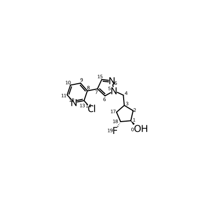 O[C@@H]1CC(Cn2cc(-c3cccnc3Cl)cn2)C[C@H]1F